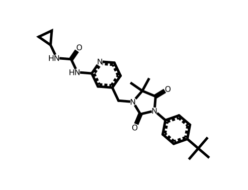 CC(C)(C)c1ccc(N2C(=O)N(Cc3ccnc(NC(=O)NC4CC4)c3)C(C)(C)C2=O)cc1